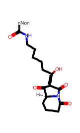 CCCCCCCCCC(=O)NCCCCC/C(O)=C1\C(=O)[C@@H]2CCCC(=O)N2C1=O